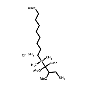 CCCCCCCCCCCCCCCCCC[N+](C)(C)C(OC)(OC)C(C[SiH3])OC.[Cl-].[SiH4]